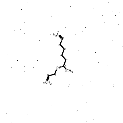 C=CCCCCC(C)OCC=C